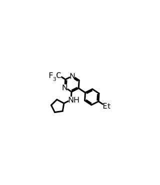 CCc1ccc(-c2cnc(C(F)(F)F)nc2NC2CCCC2)cc1